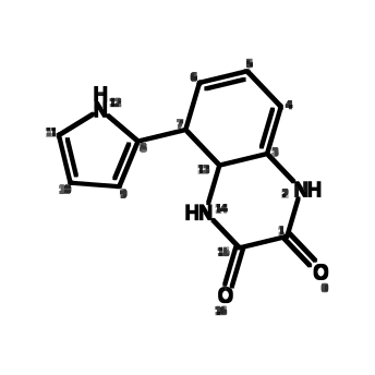 O=C1NC2=CC=CC(c3ccc[nH]3)C2NC1=O